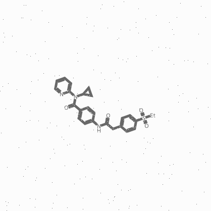 CCS(=O)(=O)c1ccc(CC(=O)Nc2ccc(C(=O)N(c3ccccn3)C3CC3)cc2)cc1